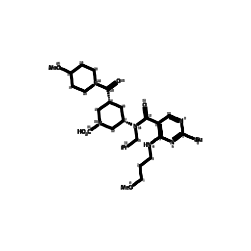 COCCCNc1nc(C(C)(C)C)ncc1C(=O)N(CC(C)C)[C@H]1C[C@@H](C(=O)N2CCC(OC)CC2)CN(C(=O)O)C1